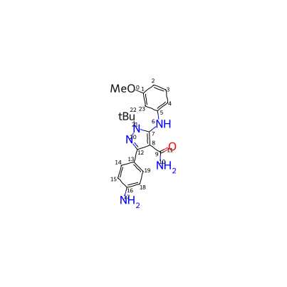 COc1cccc(Nc2c(C(N)=O)c(-c3ccc(N)cc3)nn2C(C)(C)C)c1